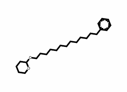 c1ccc(CCCCCCCCCCCCCOC2CCCCO2)cc1